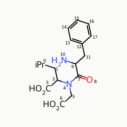 CC(C)CC(C(=O)O)N(CC(=O)O)C(=O)C(N)Cc1ccccc1